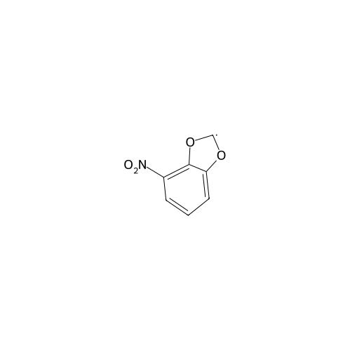 O=[N+]([O-])c1cccc2c1O[CH]O2